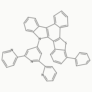 c1ccc(-c2cccc3c2sc2c4ccccc4c4c5ccccc5n(-c5cc(-c6ccccn6)nc(-c6ccccn6)c5)c4c32)cc1